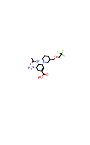 CC(=O)N[C@H]1[C@H](N2CCC[C@@H](COCC(F)(F)F)C2)C=C(C(=O)O)C[C@@H]1N